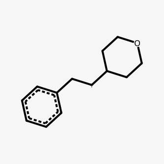 [CH](Cc1ccccc1)C1CCOCC1